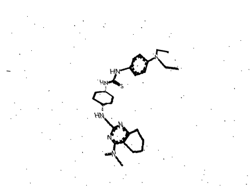 CCN(CC)c1ccc(NC(=S)N[C@H]2CC[C@@H](Nc3nc4c(c(N(C)C)n3)CCCC4)CC2)cc1